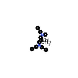 CC1(C)c2cc(N(c3ccccc3)c3ccc(-c4ccccc4)cc3)ccc2-c2ccc(N(c3ccc(-c4ccccc4)cc3)c3ccc(-c4ccccc4)cc3)cc21